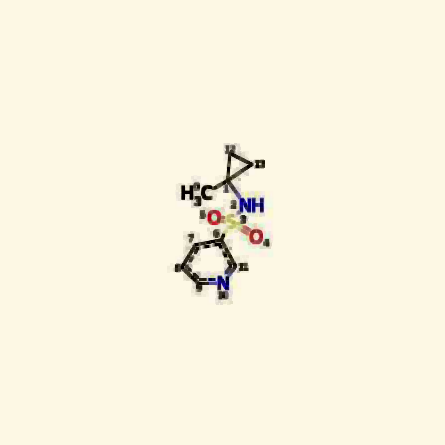 CC1(NS(=O)(=O)c2cccnc2)CC1